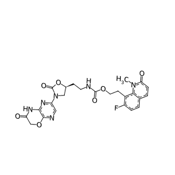 Cn1c(=O)ccc2ccc(F)c(CCOC(=O)NCC[C@H]3CN(c4cnc5c(n4)NC(=O)CO5)C(=O)O3)c21